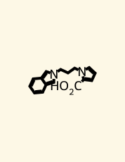 O=C(O)c1cccn1CCCn1cc2ccccc2c1